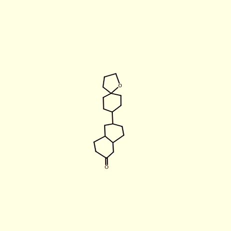 O=C1CCC2CC(C3CCC4(CCCO4)CC3)CCC2C1